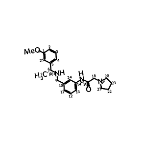 COc1cccc([C@@H](C)NCc2cccc(NC(=O)CN3CCCC3)c2)c1